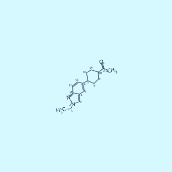 CCn1cc2cc(C3CCC(C(C)=O)CC3)ccc2n1